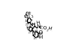 O=C(O)NCc1nn(-c2ccc(OC(F)(F)F)cc2)c2nccc(N3CCCC(O)C3)c12